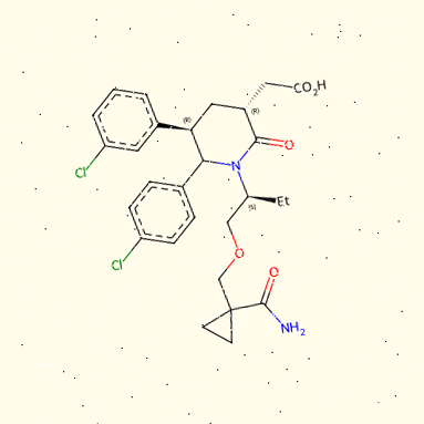 CC[C@@H](COCC1(C(N)=O)CC1)N1C(=O)[C@@H](CC(=O)O)C[C@H](c2cccc(Cl)c2)C1c1ccc(Cl)cc1